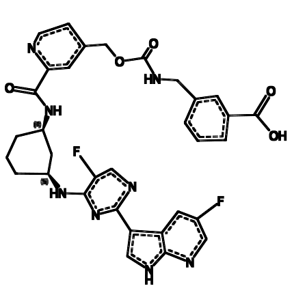 O=C(NCc1cccc(C(=O)O)c1)OCc1ccnc(C(=O)N[C@@H]2CCC[C@H](Nc3nc(-c4c[nH]c5ncc(F)cc45)ncc3F)C2)c1